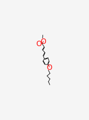 CCCCCCOc1ccc(C=CC=CC(=O)OCC)cc1